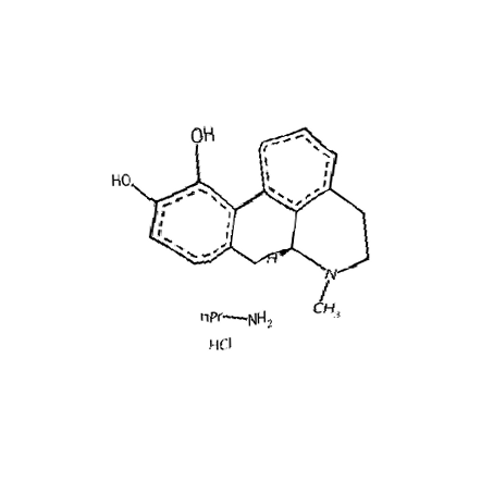 CCCN.CN1CCc2cccc3c2[C@H]1Cc1ccc(O)c(O)c1-3.Cl